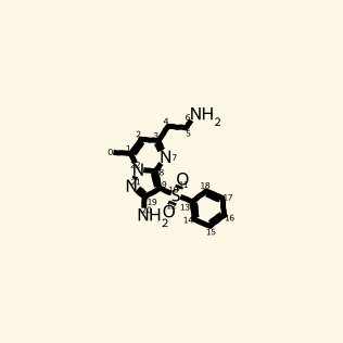 Cc1cc(CCN)nc2c(S(=O)(=O)c3ccccc3)c(N)nn12